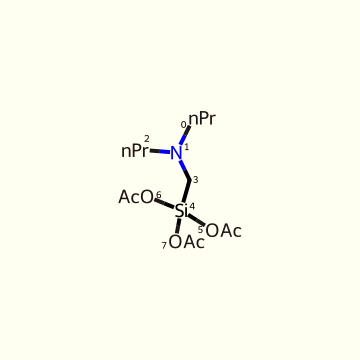 CCCN(CCC)C[Si](OC(C)=O)(OC(C)=O)OC(C)=O